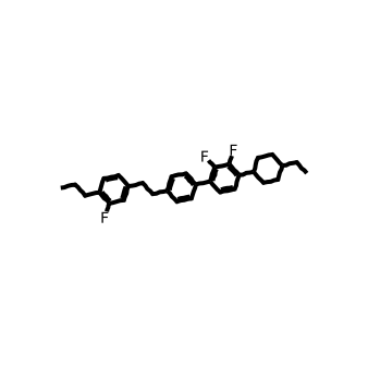 CCCc1ccc(CCc2ccc(-c3ccc(C4CCC(CC)CC4)c(F)c3F)cc2)cc1F